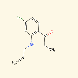 C=CCNc1cc(Cl)ccc1C(=O)CC